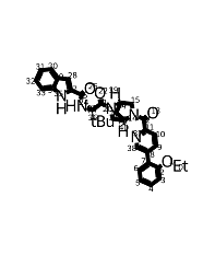 CCOc1ccccc1-c1ccc(C(=O)N2C[C@@H]3C[C@H]2CN3C(=O)[C@@H](NC(=O)c2cc3ccccc3[nH]2)C(C)(C)C)nc1